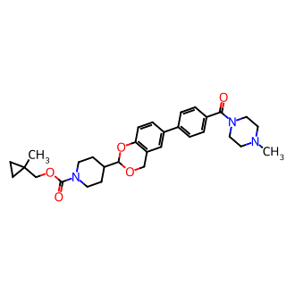 CN1CCN(C(=O)c2ccc(-c3ccc4c(c3)COC(C3CCN(C(=O)OCC5(C)CC5)CC3)O4)cc2)CC1